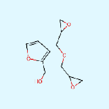 C(OCC1CO1)C1CO1.OCc1ccco1